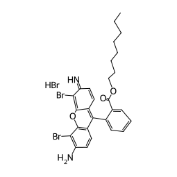 Br.CCCCCCCCOC(=O)c1ccccc1-c1c2ccc(=N)c(Br)c-2oc2c(Br)c(N)ccc12